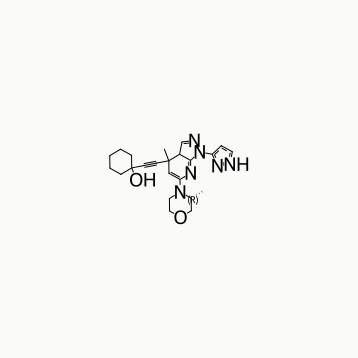 C[C@@H]1COCCN1C1=CC(C)(C#CC2(O)CCCCC2)C2C=NN(c3cc[nH]n3)C2=N1